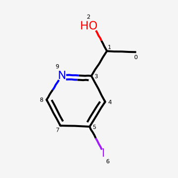 CC(O)c1cc(I)ccn1